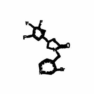 O=C1CC(c2cc(F)c(F)c(F)c2)CN1Cc1ccncc1Br